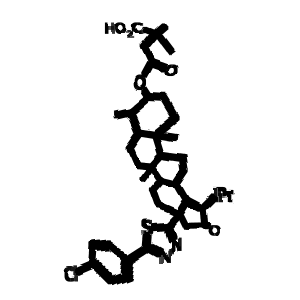 CC(C)C1=C2C3CCC4C(C)(CCC5C(C)C(OC(=O)CC(C)(C)C(=O)O)CCC54C)C3CCC2(c2nnc(-c3ccc(Cl)cc3)s2)CC1=O